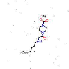 CCCCCCCCCCCCCCNCC(=O)N1CCN(C(=O)OC(C)(C)C)CC1